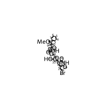 CON(c1ccccc1)C(C)(C)C(=O)OP(=O)(O)OC[C@H]1O[C@@H](n2cc(/C=C/Br)c(=O)[nH]c2=O)C[C@@H]1O